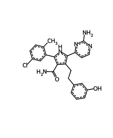 Cc1ccc(Cl)cc1-c1[nH]c(-c2ccnc(N)n2)c(CCc2cccc(O)c2)c1C(N)=O